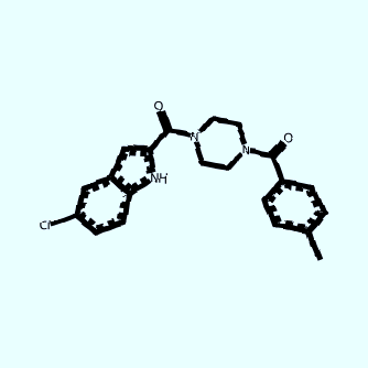 Cc1ccc(C(=O)N2CCN(C(=O)c3cc4cc(Cl)ccc4[nH]3)CC2)cc1